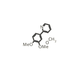 C=O.COc1ccc(-c2ccccn2)cc1OC